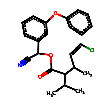 CC(C)C(C(=O)OC(C#N)c1cccc(Oc2ccccc2)c1)C(C)C=CCl